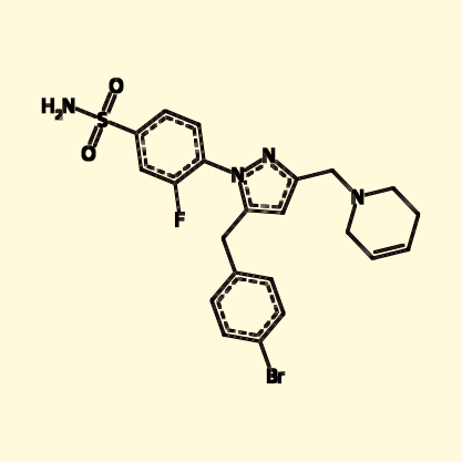 NS(=O)(=O)c1ccc(-n2nc(CN3CC=CCC3)cc2Cc2ccc(Br)cc2)c(F)c1